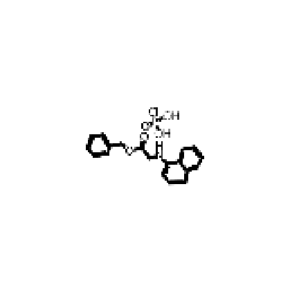 O=C(CNc1cccc2ccccc12)OCc1ccccc1.O=P(O)(O)Cl